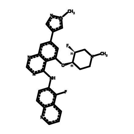 CN1CC[C@@H](Oc2cc(-c3cnn(C)c3)cc3ncnc(Nc4ccc5ncccc5c4F)c23)[C@H](F)C1